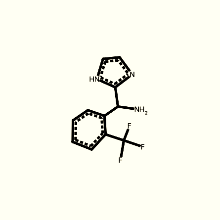 NC(c1ncc[nH]1)c1ccccc1C(F)(F)F